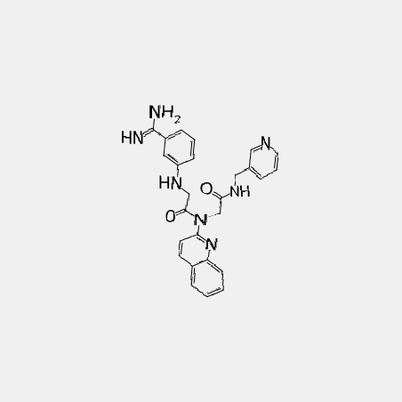 N=C(N)c1cccc(NCC(=O)N(CC(=O)NCc2cccnc2)c2ccc3ccccc3n2)c1